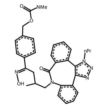 CCCn1nnc2c1-c1ccccc1C(=O)N(CC(C)C/C(=N\O)c1ccc(COC(=O)NC)cc1)c1ccccc1-2